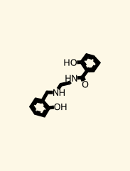 O=C(NCCNCc1ccccc1O)c1ccccc1O